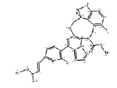 CCOC(O)/C=C/c1ccc(-c2cc3c(n4cnnc24)N(C(=O)OC(C)(C)C)Cc2c(F)ccc4c2[C@H](CO4)CO3)c(C)n1